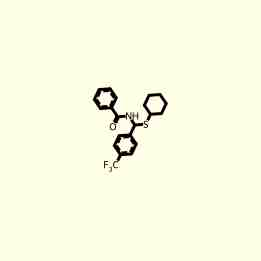 O=C(NC(SC1CCCCC1)c1ccc(C(F)(F)F)cc1)c1ccccc1